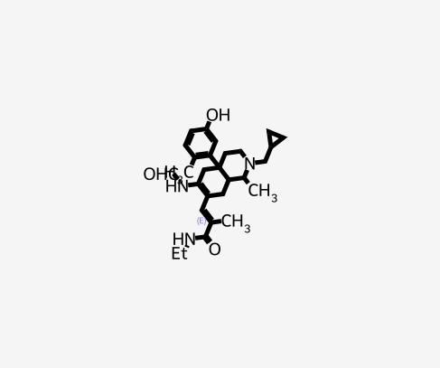 CCNC(=O)/C(C)=C/C1=C(NC=O)CC2(c3cc(O)ccc3C)CCN(CC3CC3)C(C)C2C1